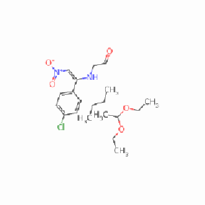 CCCC.CCOC(C)OCC.O=CCN/C(=C/[N+](=O)[O-])c1ccc(Cl)cc1